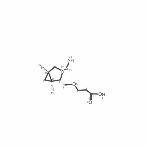 O=C(O)CCOC[C@@H]1[C@H]2C[C@H]2CN1SS